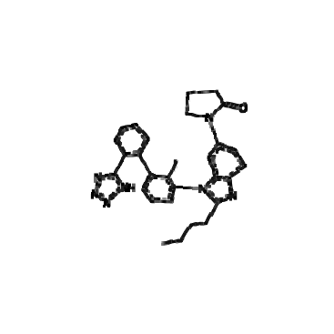 CCCCc1nc2ccc(N3CCCC3=O)cc2n1-c1cccc(-c2ccccc2-c2nnn[nH]2)c1C